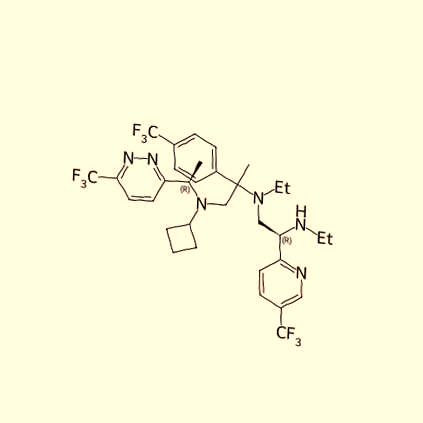 CCN[C@H](CN(CC)C(C)(CN(C1CCC1)[C@H](C)c1ccc(C(F)(F)F)nn1)c1ccc(C(F)(F)F)cc1)c1ccc(C(F)(F)F)cn1